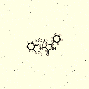 CCOC(=O)C1C(=NNc2ccccc2[N+](=O)[O-])C(=O)NC1c1ccccc1